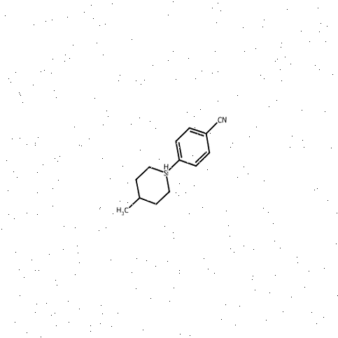 CC1CC[SiH](c2ccc(C#N)cc2)CC1